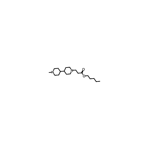 CCCCCOC(=O)CCN1CCC(C2CCN(C)CC2)CC1